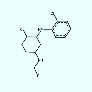 FCNC1CCC(Cl)C(Nc2ccccc2Cl)C1